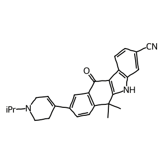 CC(C)N1CC=C(c2ccc3c(c2)C(=O)c2c([nH]c4cc(C#N)ccc24)C3(C)C)CC1